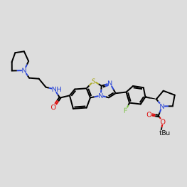 CC(C)(C)OC(=O)N1CCC[C@@H]1c1ccc(-c2cn3c(n2)sc2cc(C(=O)NCCCN4CCCCC4)ccc23)c(F)c1